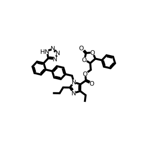 CCCc1nc(CC)c(C(=O)OCC2OC(=O)OC2c2ccccc2)n1Cc1ccc(-c2ccccc2-c2nnn[nH]2)cc1